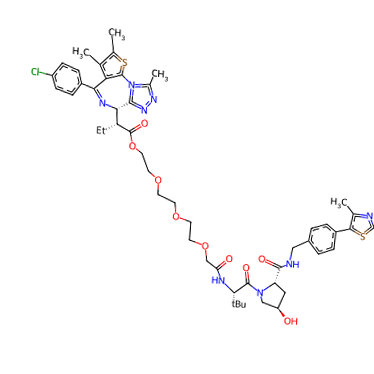 CC[C@@H](C(=O)OCCOCCOCCOCC(=O)N[C@H](C(=O)N1C[C@H](O)C[C@H]1C(=O)NCc1ccc(-c2scnc2C)cc1)C(C)(C)C)[C@@H]1N=C(c2ccc(Cl)cc2)c2c(sc(C)c2C)-n2c(C)nnc21